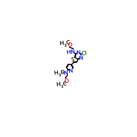 COCCNc1nc(Cl)nc2cc(-c3ccc(N(C)CCOC)nc3)sc12